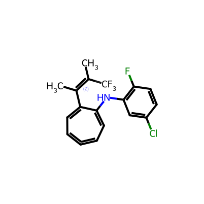 C/C(C1=CC=C=CC=C1Nc1cc(Cl)ccc1F)=C(\C)C(F)(F)F